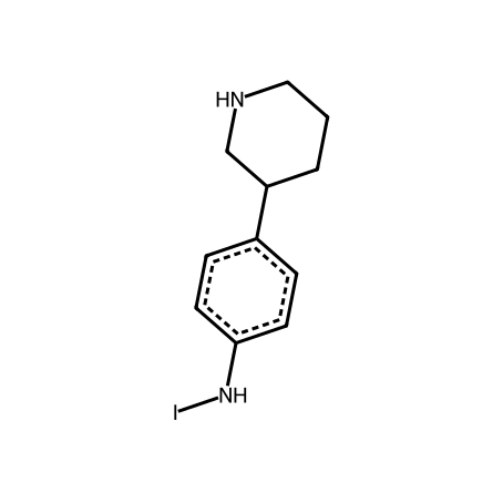 INc1ccc(C2CCCNC2)cc1